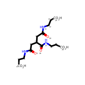 O=C(O)CCNC(=O)CC(CC(=O)NCCC(=O)O)C(=O)NCCC(=O)O